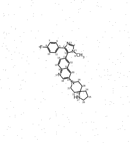 Cn1cnc(-c2ccc(F)cc2)c1-c1ccc2ncc(N3CCC4(CCCN4)CC3)cc2c1